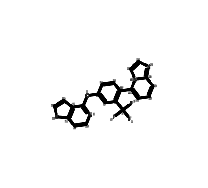 FC(F)(F)c1cc(Oc2nccc3occc23)ccc1-c1cccc2nccn12